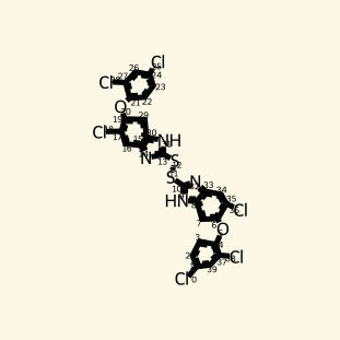 Clc1ccc(Oc2cc3[nH]c(SSc4nc5cc(Cl)c(Oc6ccc(Cl)cc6Cl)cc5[nH]4)nc3cc2Cl)c(Cl)c1